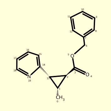 C[C@H]1[C@H](C(=O)OCc2ccccc2)[C@H]1c1ccccn1